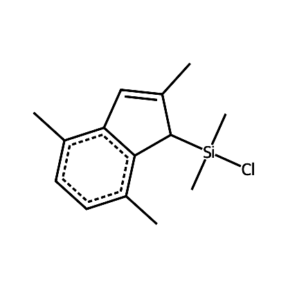 CC1=Cc2c(C)ccc(C)c2C1[Si](C)(C)Cl